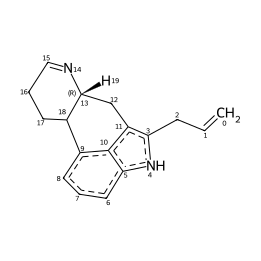 C=CCc1[nH]c2cccc3c2c1C[C@H]1N=CCCC31